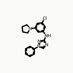 Clc1cc(Nc2ncn(-c3ccccc3)n2)cc(N2CCCC2)c1